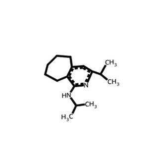 CC(C)Nc1nc(C(C)C)cc2c1CCCCC2